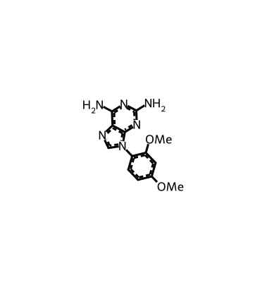 COc1ccc(-n2cnc3c(N)nc(N)nc32)c(OC)c1